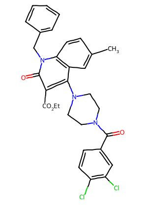 CCOC(=O)c1c(N2CCN(C(=O)c3ccc(Cl)c(Cl)c3)CC2)c2cc(C)ccc2n(Cc2ccccc2)c1=O